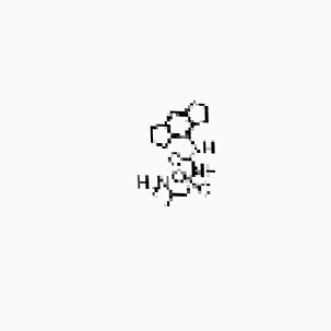 CC(N)CS(=O)(=O)NC(=O)Nc1c2c(cc3c1CCC3)CCC2